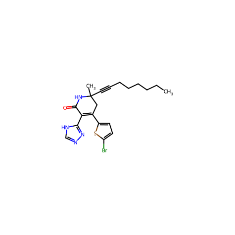 CCCCCCC#CC1(C)CC(c2ccc(Br)s2)=C(c2nnc[nH]2)C(=O)N1